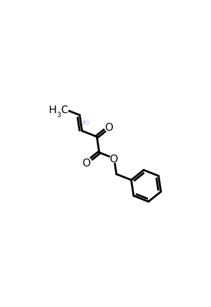 C/C=C/C(=O)C(=O)OCc1ccccc1